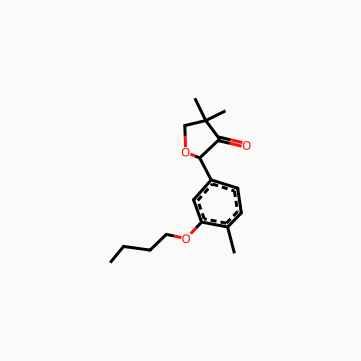 CCCCOc1cc(C2OCC(C)(C)C2=O)ccc1C